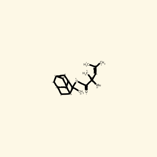 CC(C)=CC(C)(C(=O)OC1(C)C2CC3CC(C2)CC1C3)C(C)(C)C